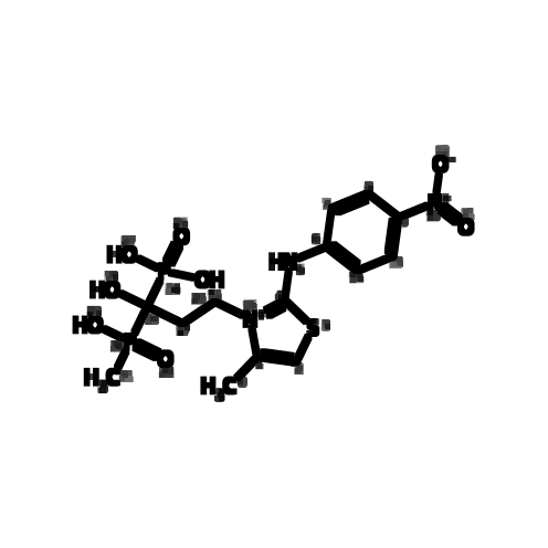 Cc1csc(Nc2ccc([N+](=O)[O-])cc2)[n+]1CCC(O)(P(C)(=O)O)P(=O)(O)O